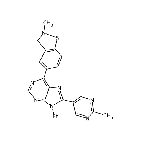 CCn1c(-c2cnc(C)nc2)nc2c(-c3ccc4c(c3)CN(C)S4)ncnc21